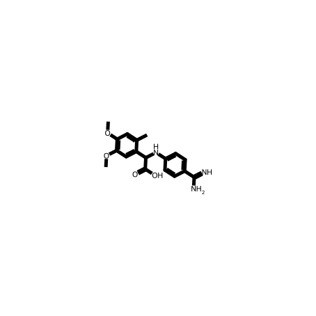 COc1cc(C)c(C(Nc2ccc(C(=N)N)cc2)C(=O)O)cc1OC